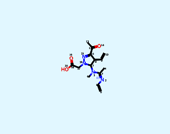 C=C/N=C(/C)N(C)C1C(C=C)C(C(C)=O)=NN1CC(=O)O